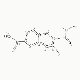 COC(=O)c1nc2ccc(C(=O)O)cc2cc1C